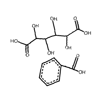 O=C(O)C(O)C(O)C(O)C(O)C(=O)O.O=C(O)c1ccccc1